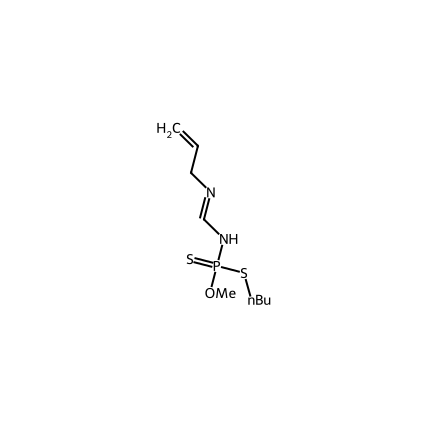 C=CC/N=C/NP(=S)(OC)SCCCC